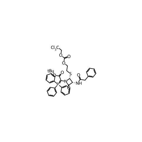 CC(C)(C)OC(=O)C(N1C(=O)[C@@H](NC(=O)Cc2ccccc2)[C@H]1SCCOC(=O)OCC(Cl)(Cl)Cl)=P(c1ccccc1)(c1ccccc1)c1ccccc1